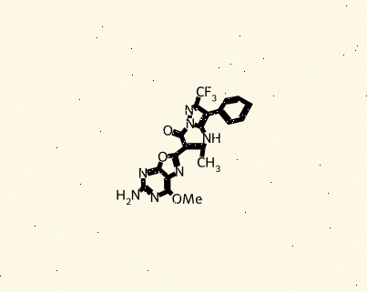 COc1nc(N)nc2oc(-c3c(C)[nH]c4c(-c5ccccc5)c(C(F)(F)F)nn4c3=O)nc12